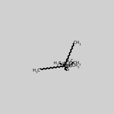 CCCCCCCCCCCCCCCC(CCCCCCCCCCCCCCC)(OCC)c1ccsc1BOC(C)(C)C(C)C